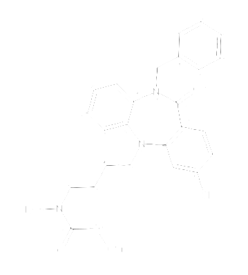 CN(CCCCN1c2cc(Cl)ccc2C(=O)N(Cc2ccccc2)c2ccccc21)C(=O)OC(C)(C)C